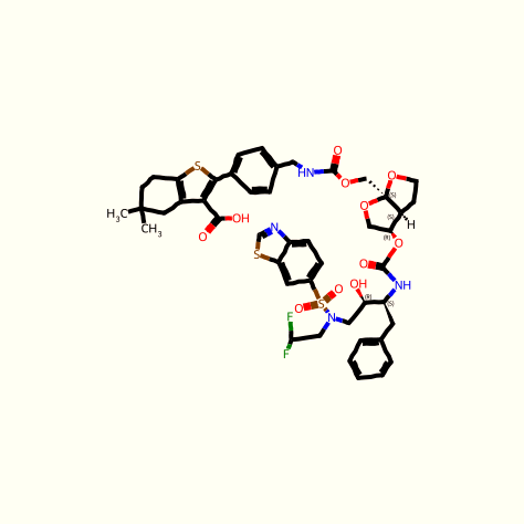 CC1(C)CCc2sc(-c3ccc(CNC(=O)OC[C@]45OCC[C@H]4[C@@H](OC(=O)N[C@@H](Cc4ccccc4)[C@H](O)CN(CC(F)F)S(=O)(=O)c4ccc6ncsc6c4)CO5)cc3)c(C(=O)O)c2C1